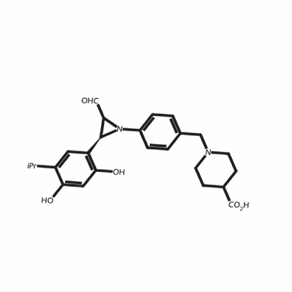 CC(C)c1cc([C@H]2C(C=O)N2c2ccc(CN3CCC(C(=O)O)CC3)cc2)c(O)cc1O